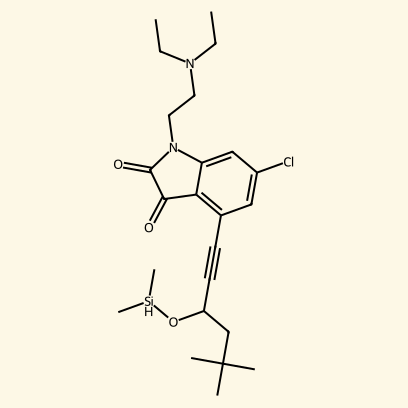 CCN(CC)CCN1C(=O)C(=O)c2c(C#CC(CC(C)(C)C)O[SiH](C)C)cc(Cl)cc21